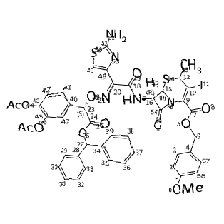 COc1ccc(COC(=O)C2=C(I)C(C)S[C@@H]3[C@H](NC(=O)C(=NO[C@H](C(=O)OC(c4ccccc4)c4ccccc4)c4ccc(OC(C)=O)c(OC(C)=O)c4)c4csc(N)n4)C(=O)N23)cc1